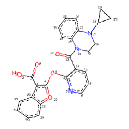 O=C(O)c1c(Oc2ncccc2C(=O)N2CCN(C3CC3)c3ccccc32)oc2ccccc12